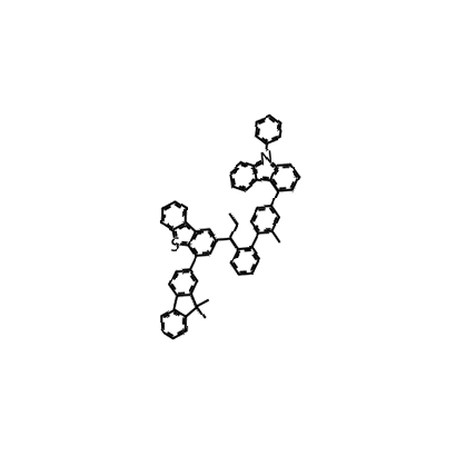 CCC(c1cc(-c2ccc3c(c2)C(C)(C)c2ccccc2-3)c2sc3ccccc3c2c1)c1ccccc1-c1ccc(-c2cccc3c2c2ccccc2n3-c2ccccc2)cc1C